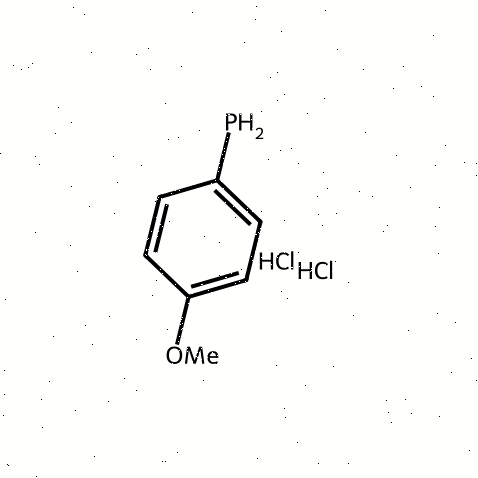 COc1ccc(P)cc1.Cl.Cl